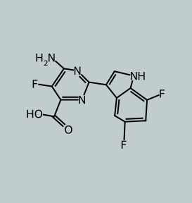 Nc1nc(-c2c[nH]c3c(F)cc(F)cc23)nc(C(=O)O)c1F